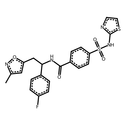 Cc1cc(CC(NC(=O)c2ccc(S(=O)(=O)Nc3nccs3)cc2)c2ccc(F)cc2)on1